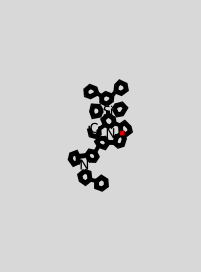 c1ccc(-c2cccc(-n3c4ccccc4c4cc(-c5ccc6c(c5)c5ccccc5n6-c5c(-c6ccccc6)cc([Si](c6ccccc6)(c6ccccc6)c6cc(-c7ccccc7)cc(-c7ccccc7)c6)cc5-c5ccccc5)ccc43)c2)cc1